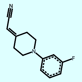 N#CC=C1CCN(c2cccc(F)c2)CC1